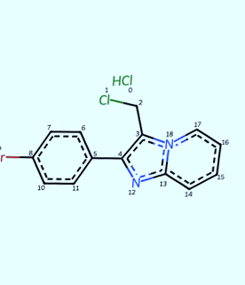 Cl.ClCc1c(-c2ccc(Br)cc2)nc2ccccn12